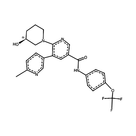 Cc1ccc(-c2cc(C(=O)Nc3ccc(OC(F)(F)F)cc3)cnc2N2CCC[C@H](O)C2)cn1